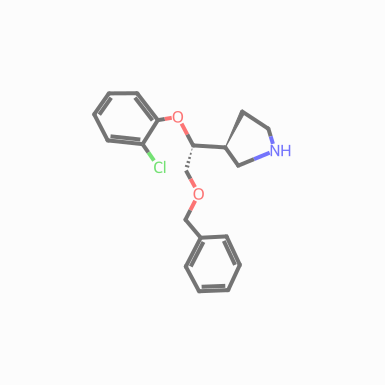 Clc1ccccc1O[C@@H](COCc1ccccc1)[C@H]1CCNC1